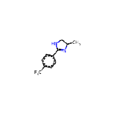 CC1CNC(c2ccc(C(F)(F)F)cc2)=N1